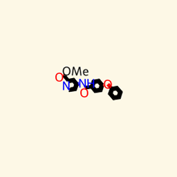 COC(=O)c1cc(NC(=O)c2ccc(Oc3ccccc3)cc2)ccn1